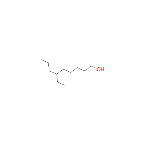 CCCC(CC)CCCCCO